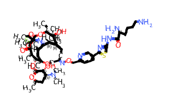 CCC(=O)/N=C1\[C@H](C)C[C@@]2(C)OC/C(=N/OCc3ccc(-c4nc(NC(=O)[C@@H](N)CCCCN)cs4)cn3)CC[C@H]([C@H]1C)[C@](C)(O)[C@@H](CC)OC(=O)[C@@](C)(F)C(=O)[C@H](C)[C@H]2O[C@@H]1O[C@H](C)C[C@H](N(C)C)[C@H]1O